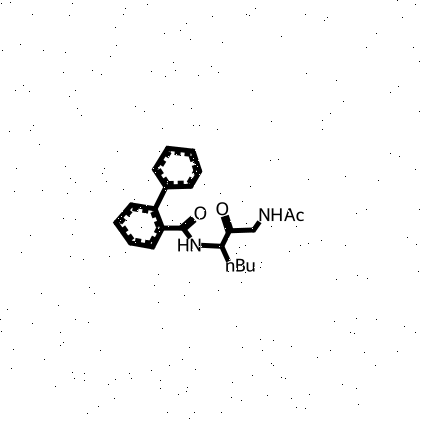 CCCCC(NC(=O)c1ccccc1-c1ccccc1)C(=O)CNC(C)=O